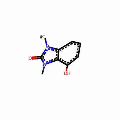 CC(C)n1c(=O)n(C)c2c(O)cccc21